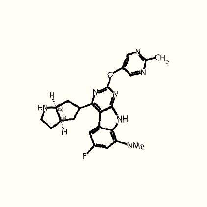 CNc1cc(F)cc2c1[nH]c1nc(Oc3cnc(C)nc3)nc(C3C[C@H]4CCN[C@H]4C3)c12